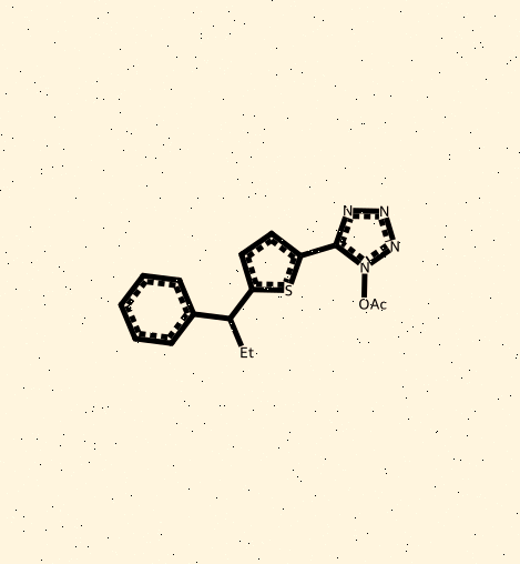 CCC(c1ccccc1)c1ccc(-c2nnnn2OC(C)=O)s1